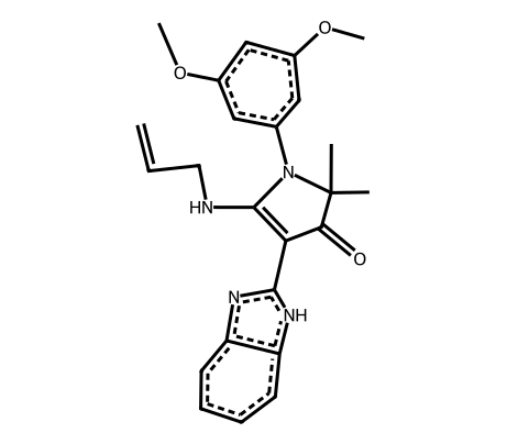 C=CCNC1=C(c2nc3ccccc3[nH]2)C(=O)C(C)(C)N1c1cc(OC)cc(OC)c1